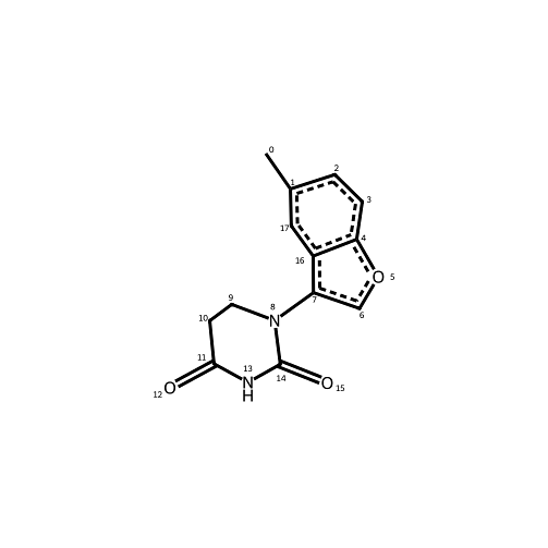 Cc1ccc2occ(N3CCC(=O)NC3=O)c2c1